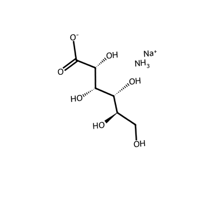 N.O=C([O-])[C@H](O)[C@@H](O)[C@H](O)[C@H](O)CO.[Na+]